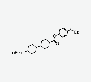 CCCCCC1CCC(C2CCC(C(=O)Oc3ccc(OCC)cc3)CC2)CC1